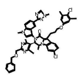 Cc1cc(OCCCc2c3n(c4cc(Cl)ccc24)C(C)[C@@H](c2c(C)nc(COCc4ccccc4)nc2C)N(c2cn(C)c4ccc(-c5ncn(C)n5)cc24)C3=O)cc(C)c1Cl